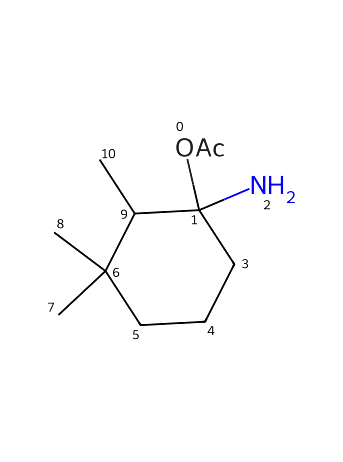 CC(=O)OC1(N)CCCC(C)(C)C1C